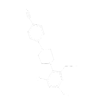 CCc1nc(N)nc(N)c1N1CCN(c2ccc(C#N)cc2)CC1